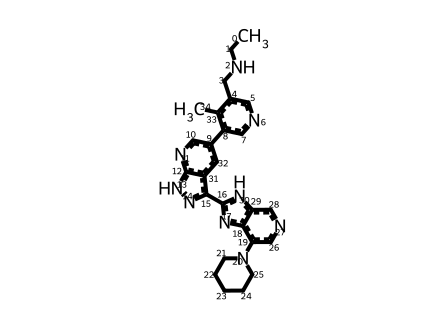 CCNCc1cncc(-c2cnc3[nH]nc(-c4nc5c(N6CCCCC6)cncc5[nH]4)c3c2)c1C